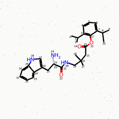 CC(C)c1cccc(C(C)C)c1OC(=O)CC(C)(C)CNC(=O)[C@@H](N)Cc1c[nH]c2ccccc12